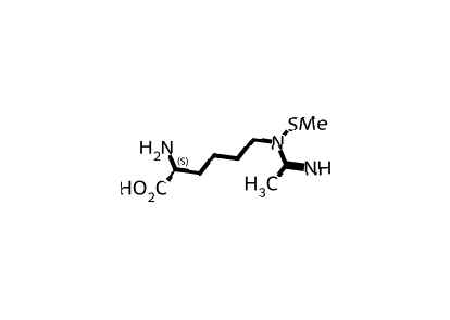 CSN(CCCC[C@H](N)C(=O)O)C(C)=N